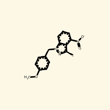 COc1ccc(Cn2nc(I)c3c([N+](=O)[O-])cccc32)cc1